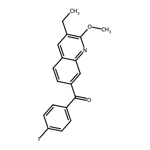 CCc1cc2ccc(C(=O)c3ccc(I)cc3)cc2nc1OC